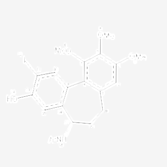 COc1cc2c(c(OC)c1OC)-c1cc(I)c(O)cc1[C@@H](NC(C)=O)CC2